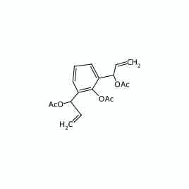 C=CC(OC(C)=O)c1cccc(C(C=C)OC(C)=O)c1OC(C)=O